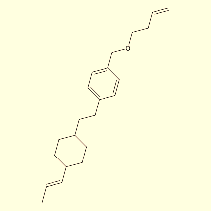 C=CCCOCc1ccc(CCC2CCC(C=CC)CC2)cc1